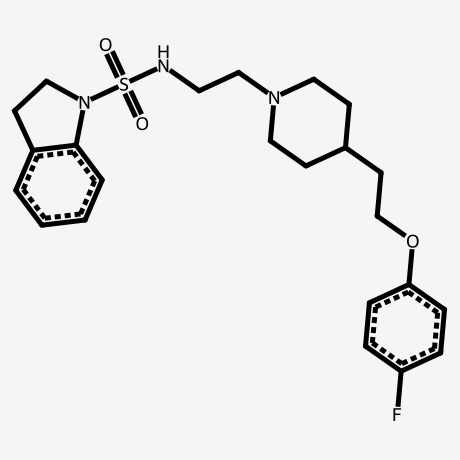 O=S(=O)(NCCN1CCC(CCOc2ccc(F)cc2)CC1)N1CCc2ccccc21